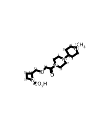 CN1CCC(N2CCN(C(=O)COCC3CCN3C(=O)O)CC2)CC1